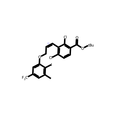 Cc1cc(C(F)(F)F)cc(OC/C=C\c2c(Cl)ccc(C(=O)OC(C)(C)C)c2Cl)c1I